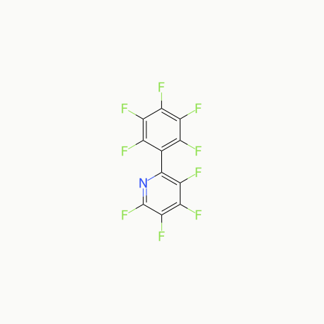 Fc1nc(-c2c(F)c(F)c(F)c(F)c2F)c(F)c(F)c1F